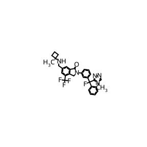 Cn1cnnc1C(F)(c1ccccc1)c1cccc(N2Cc3c(cc(CNC4(C)CCC4)cc3C(F)(F)F)C2=O)c1